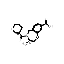 C[C@H]1COc2cc(C(=O)O)ccc2CN1C(=O)[C@@H]1CCCOC1